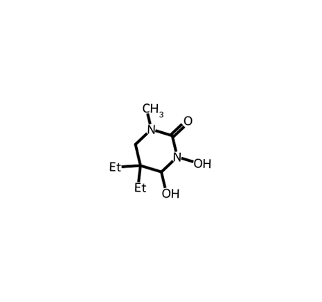 CCC1(CC)CN(C)C(=O)N(O)C1O